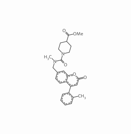 COC(=O)C1CCN(C(=O)N(C)Cc2ccc3c(-c4ccccc4C)cc(=O)oc3c2)CC1